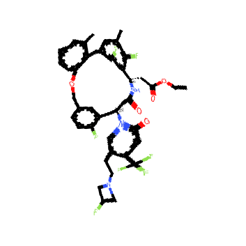 CCOC(=O)C[C@@H]1NC(=O)[C@@H](n2cc(CCN3CC(F)C3)c(C(F)(F)F)cc2=O)c2cc(ccc2F)COc2cccc(C)c2-c2cc(C)c(F)c1c2F